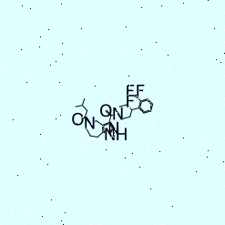 CC(C)CC(=O)N1CCCc2[nH]nc(C(=O)N3CCC(c4ccccc4C(F)(F)F)CC3)c2C1